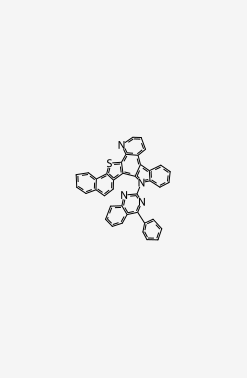 c1ccc(-c2nc(-n3c4ccccc4c4c5cccnc5c5sc6c7ccccc7ccc6c5c43)nc3ccccc23)cc1